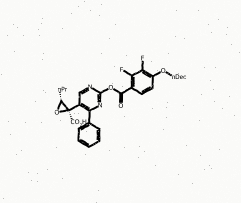 CCCCCCCCCCOc1ccc(C(=O)Oc2ncc([C@@]3(C(=O)O)O[C@@H]3CCC)c(-c3ccccc3)n2)c(F)c1F